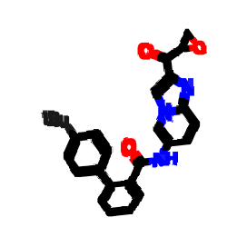 CC(C)(C)c1ccc(-c2ccccc2C(=O)Nc2ccc3nc(C(=O)C4CO4)cn3c2)cc1